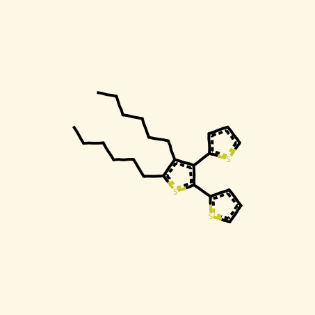 CCCCCCc1sc(-c2cccs2)c(-c2cccs2)c1CCCCCC